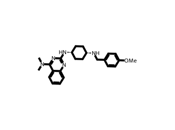 COc1ccc(CN[C@H]2CC[C@@H](Nc3nc(N(C)C)c4ccccc4n3)CC2)cc1